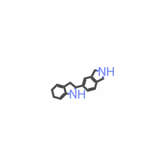 C1=C2CC(c3ccc4c(c3)CNC4)NC2=CCC1